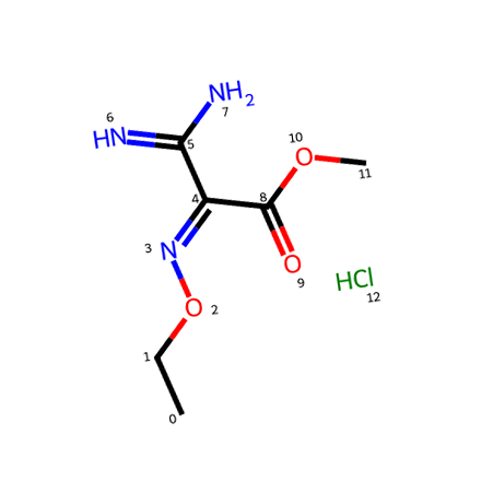 CCON=C(C(=N)N)C(=O)OC.Cl